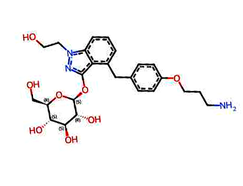 NCCCOc1ccc(Cc2cccc3c2c(O[C@@H]2O[C@H](CO)[C@@H](O)[C@H](O)[C@H]2O)nn3CCO)cc1